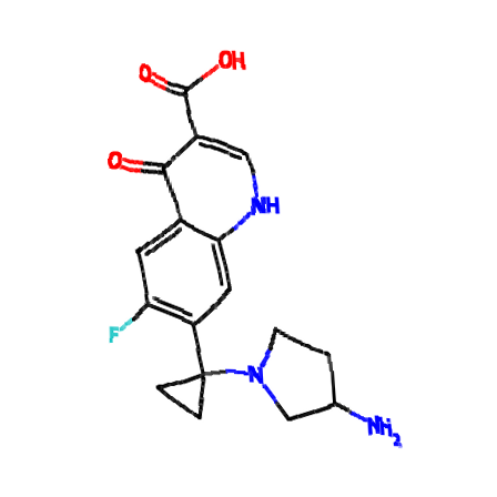 NC1CCN(C2(c3cc4[nH]cc(C(=O)O)c(=O)c4cc3F)CC2)C1